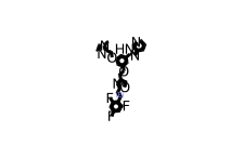 Cn1ccnc1COc1cc(OCc2coc(/C=C/c3c(F)cc(F)cc3F)n2)cc(-c2nc3cccnc3[nH]2)c1